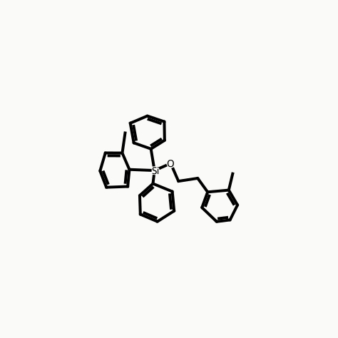 Cc1ccccc1CCO[Si](c1ccccc1)(c1ccccc1)c1ccccc1C